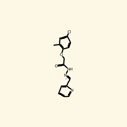 Cc1cc(Cl)ccc1OCC(=O)N/N=C/c1ccccn1